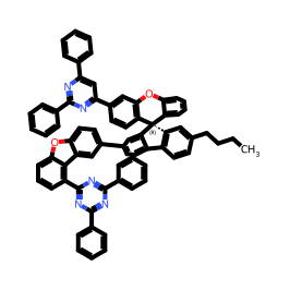 CCCCc1ccc2c(c1)[C@]1(c3ccccc3Oc3cc(-c4cc(-c5ccccc5)nc(-c5ccccc5)n4)ccc31)c1cc(-c3ccc4oc5cccc(-c6nc(-c7ccccc7)nc(-c7ccccc7)n6)c5c4c3)ccc1-2